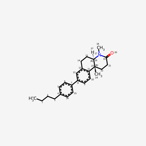 CCCCc1ccc(-c2ccc3c(c2)CC[C@H]2N(C)C(=O)CC[C@]32C)cc1